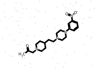 CC(=O)CN1CCC(CCN2CCN(c3cccc([N+](=O)[O-])c3)CC2)CC1